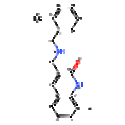 Cc1cccc2cc(CNCc3ccccc3C(F)(F)F)c(=O)[nH]c12